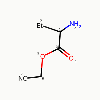 CCC(N)C(=O)OCC#N